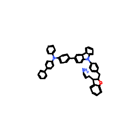 N/C=C\CC1c2ccccc2OC1Cc1ccc(-n2c3ccccc3c3cc(-c4ccc(N(c5ccccc5)c5ccc(-c6ccccc6)cc5)cc4)ccc32)cc1